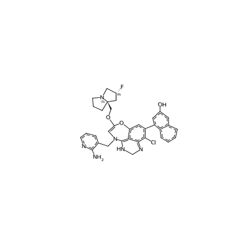 Nc1ncccc1CN1C=C(OC[C@@]23CCCN2C[C@H](F)C3)Oc2cc(-c3cc(O)cc4ccccc34)c(Cl)c3c2=C1NCN=3